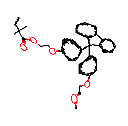 CCC(C)(C)C(=O)OCCOc1ccc(C2(c3ccc(OCCOC)cc3)c3ccccc3-c3ccccc32)cc1